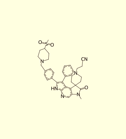 CN1C(=O)C2(CCN(CCC#N)CC2)c2c1cnc1[nH]c(-c3ccc(CN4CCC(S(C)(=O)=O)CC4)cc3)c(-c3ccccc3)c21